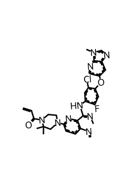 C=CC(=O)N1CCN(c2ccc(N=C)c(/C(=N\C)Nc3cc(Cl)c(Oc4cnc5c(c4)ncn5C)cc3F)n2)CC1(C)C